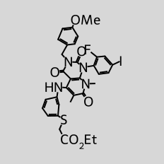 CCOC(=O)CSc1cccc(Nc2c(C)c(=O)n(C)c3c2c(=O)n(Cc2ccc(OC)cc2)c(=O)n3-c2ccc(I)cc2F)c1